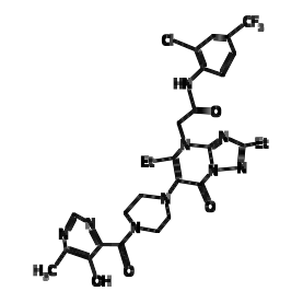 CCc1nc2n(CC(=O)Nc3ccc(C(F)(F)F)cc3Cl)c(CC)c(N3CCN(C(=O)c4ncnc(C)c4O)CC3)c(=O)n2n1